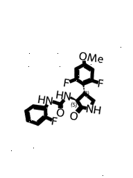 COc1cc(F)c([C@@H]2CNC(=O)[C@H]2NC(=O)Nc2ccccc2F)c(F)c1